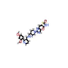 COc1ccc(-c2ncccc2CNCC2CCN(c3nccc(C=C4SC(=O)NC4=O)n3)CC2)c(OC)c1